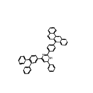 C1=C(c2ccc(-c3ccccc3)c(-c3ccccc3)c2)N=C(c2ccc(-c3c4ccccc4cc4c3ccc3ccccc34)cc2)NC1c1ccccc1